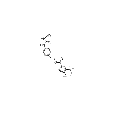 CC(C)NC(=O)Nc1ccc(CCOC(=O)c2ccc3c(c2)C(C)(C)CCC3(C)C)cc1